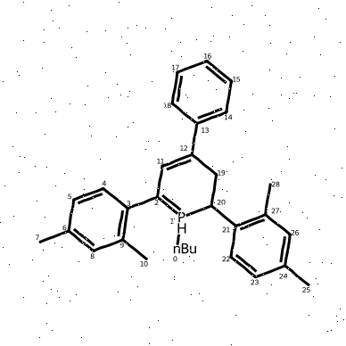 CCCC[PH]1=C(c2ccc(C)cc2C)C=C(c2ccccc2)CC1c1ccc(C)cc1C